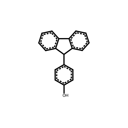 Oc1ccc(C2c3ccccc3-c3ccccc32)cc1